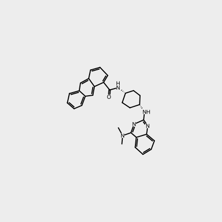 CN(C)c1nc(N[C@H]2CC[C@@H](NC(=O)c3cccc4cc5ccccc5cc34)CC2)nc2ccccc12